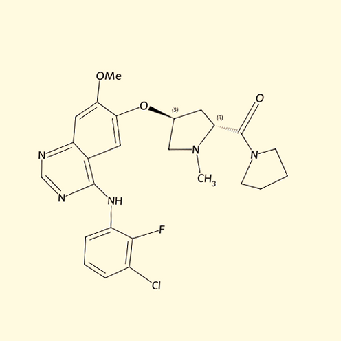 COc1cc2ncnc(Nc3cccc(Cl)c3F)c2cc1O[C@H]1C[C@H](C(=O)N2CCCC2)N(C)C1